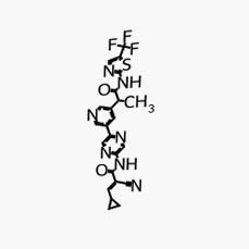 CC(C(=O)Nc1ncc(C(F)(F)F)s1)c1cncc(-c2cnc(NC(=O)/C(C#N)=C/C3CC3)cn2)c1